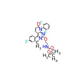 Cc1cc(F)ccc1-c1nc(OCCNC(=O)OC(C)(C)C)nc2c1ccc(=O)n2-c1c(F)cccc1F